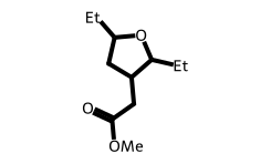 CCC1CC(CC(=O)OC)C(CC)O1